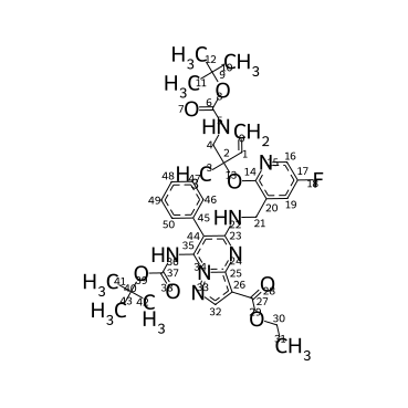 C=CC(C)(CNC(=O)OC(C)(C)C)Oc1ncc(F)cc1CNc1nc2c(C(=O)OCC)cnn2c(NC(=O)OC(C)(C)C)c1-c1ccccc1